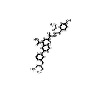 CCN(CC)Cc1cccc(-c2ccc3nc(C(=O)N[C@H](COC)Cc4ccc(O)cc4)cc(C(=O)O)c3c2)c1